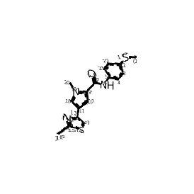 CSc1ccc(NC(=O)c2cc(-c3csc(C)n3)cn2C)cc1